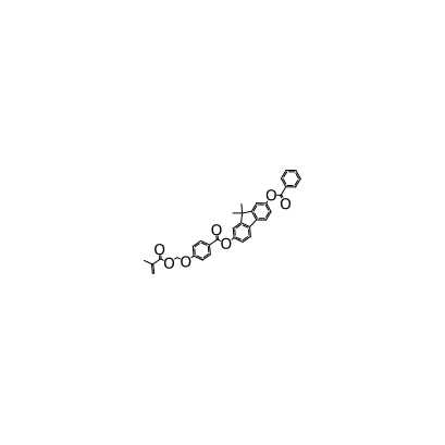 C=C(C)C(=O)OCOc1ccc(C(=O)Oc2ccc3c(c2)C(C)(C)c2cc(OC(=O)c4ccccc4)ccc2-3)cc1